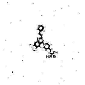 COc1cc2nc(/C=C/c3cccnc3)nc(N3CCC(CCP(=O)(O)O)CC3)c2cc1OC